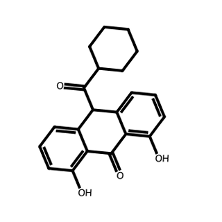 O=C1c2c(O)cccc2C(C(=O)C2CCCCC2)c2cccc(O)c21